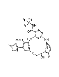 [2H]C([2H])([2H])NC(=O)c1nnc2cc1Nc1cc(cc(-c3ncn(C)n3)c1OC)CCC(O)c1nc(ccc1F)N2